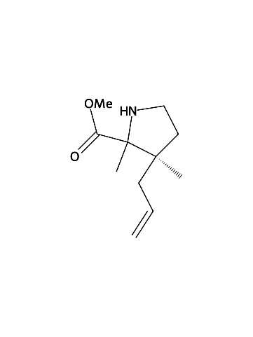 C=CC[C@]1(C)CCNC1(C)C(=O)OC